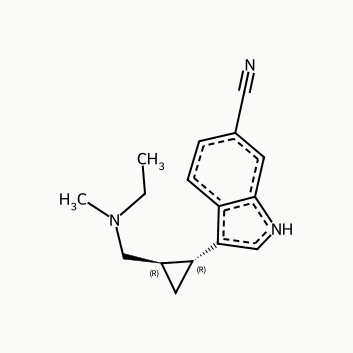 CCN(C)C[C@@H]1C[C@H]1c1c[nH]c2cc(C#N)ccc12